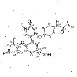 C=CC(=O)NC1CCC(Oc2cc(=O)n(C)cc2-c2cc(C(C)(C)O)ccc2Oc2c(C)cc(F)cc2C)CC1